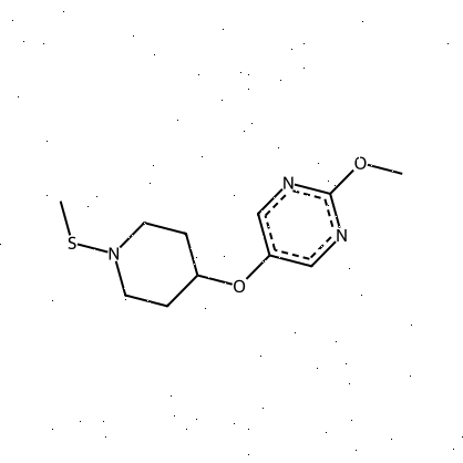 COc1ncc(OC2CCN(SC)CC2)cn1